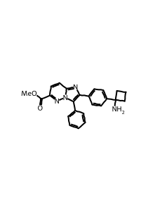 COC(=O)c1ccc2nc(-c3ccc(C4(N)CCC4)cc3)c(-c3ccccc3)n2n1